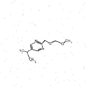 COCOCc1ncc(C(C)C)cn1